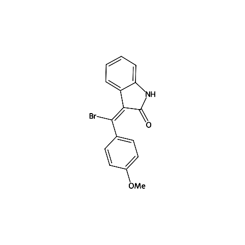 COc1ccc(C(Br)=C2C(=O)Nc3ccccc32)cc1